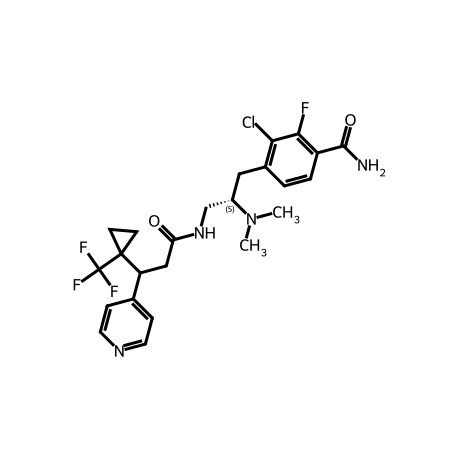 CN(C)[C@H](CNC(=O)CC(c1ccncc1)C1(C(F)(F)F)CC1)Cc1ccc(C(N)=O)c(F)c1Cl